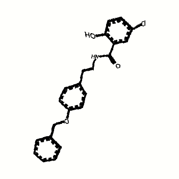 O=C(NCCc1ccc(OCc2ccccc2)cc1)c1cc(Cl)ccc1O